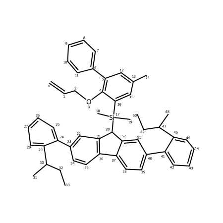 C=CCOc1c(-c2ccccc2)cc(C)cc1[Si](C)(C)C1c2cc(-c3ccccc3C(C)CC)ccc2-c2ccc(-c3ccccc3C(C)CC)cc21